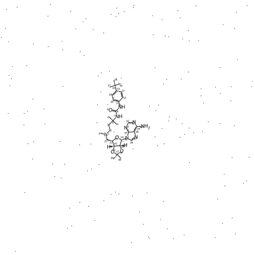 CN(CCC(C)(C)NC(=O)Nc1ccc(C(C)(C)C)cc1)C[C@H]1OC(n2cnc3c(N)ncnc32)[C@@H]2OC(C)(C)O[C@H]12